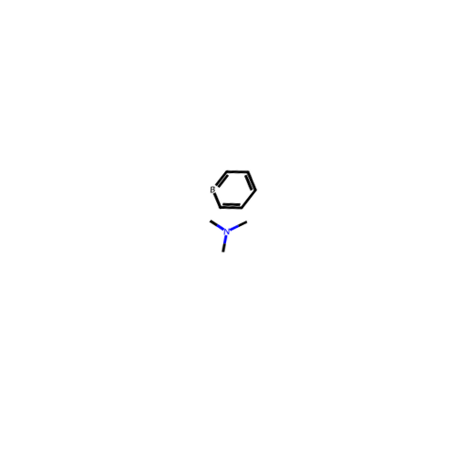 CN(C)C.b1ccccc1